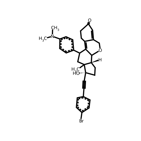 CN(C)c1ccc(C2CC3(C)[C@@H](CC[C@@]3(O)C#Cc3ccc(Br)cc3)C3OCC4=CC(=O)CCC4=C23)cc1